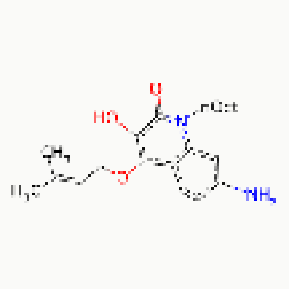 CCCCCCCCn1c(=O)c(O)c(OCC=C(C)C)c2ccc(N)cc21